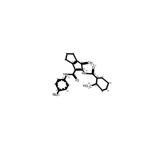 C=C1C2=C(CCC2)C(C(=O)Nc2ccc(C(C)(C)C)cc2)=C1NC(=O)C1CCCCC1C(=O)O